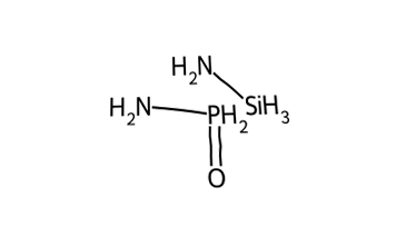 N[PH2]=O.N[SiH3]